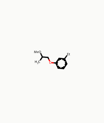 CCc1cccc(OCC(C)OC)c1